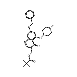 CN1CCC(Oc2cc(OCc3ccccc3)cc3ncn(COC(=O)C(C)(C)C)c(=O)c23)CC1